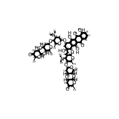 CC[C@@]1(O)C[C@H](O[C@H]2C[C@H](N(C)C)[C@H](O[C@H]3C[C@@H]4O[C@H]5CC(=O)[C@H](C)O[C@H]5O[C@@H]4[C@H](C)O3)[C@H](C)O2)c2c(O)c3c(c(O)c2[C@H]1O[C@H]1C[C@H](N(C)C)[C@H](O[C@H]2C[C@@H]4O[C@H]5CC(=O)[C@H](C)O[C@H]5O[C@@H]4[C@H](C)O2)[C@H](C)O1)C(=O)c1cccc(O)c1C3=O